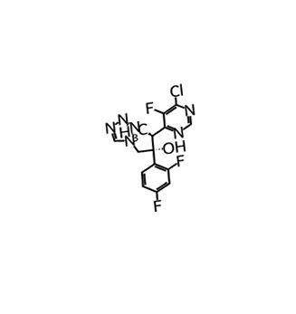 C[C@@H](c1ncnc(Cl)c1F)[C@](O)(Cn1cnnn1)c1ccc(F)cc1F